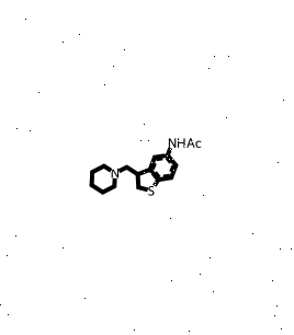 CC(=O)Nc1ccc2c(c1)C(CN1CCCCC1)CS2